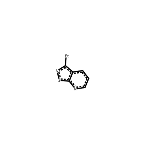 CCc1nsc2ncccc12